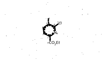 CCOC(=O)c1ccc(C)c(Cl)n1